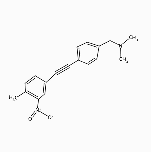 Cc1ccc(C#Cc2ccc(CN(C)C)cc2)cc1[N+](=O)[O-]